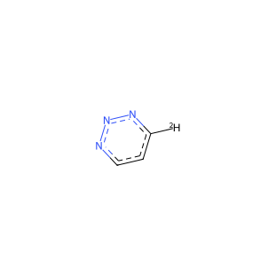 [2H]c1ccnnn1